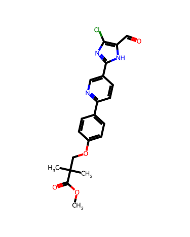 COC(=O)C(C)(C)COc1ccc(-c2ccc(-c3nc(Cl)c(C=O)[nH]3)cn2)cc1